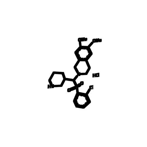 COc1cc2c(cc1OC)CN(C(C1CCCNC1)S(=O)(=O)c1ccccc1Cl)CC2.Cl